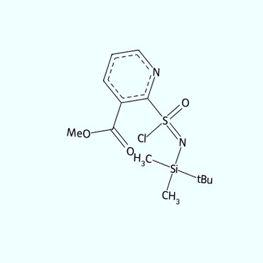 COC(=O)c1cccnc1S(=O)(Cl)=N[Si](C)(C)C(C)(C)C